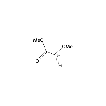 CC[C@@H](OC)C(=O)OC